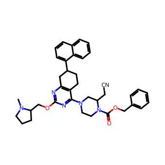 CN1CCCC1COc1nc2c(c(N3CCN(C(=O)OCc4ccccc4)C(CC#N)C3)n1)CCC(c1cccc3ccccc13)C2